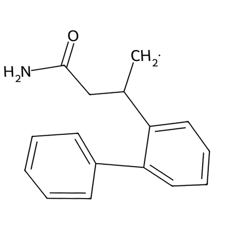 [CH2]C(CC(N)=O)c1ccccc1-c1ccccc1